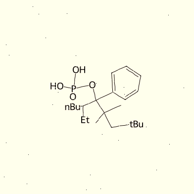 CCCCC(CC)C(OP(=O)(O)O)(c1ccccc1)C(C)(C)CC(C)(C)C